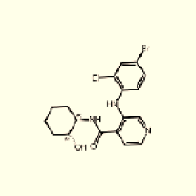 O=C(N[C@@H]1CCCC[C@H]1O)c1ccncc1Nc1ccc(Br)cc1Cl